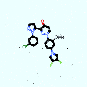 COc1cc(-n2cc(F)c(F)c2)ccc1-n1ccc(=O)c(-c2ccnn2-c2cccc(Cl)c2)n1